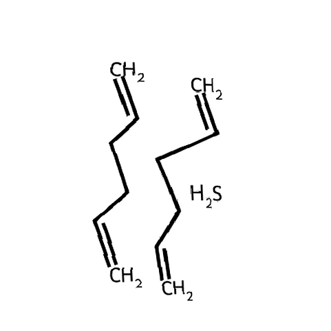 C=CCCC=C.C=CCCC=C.S